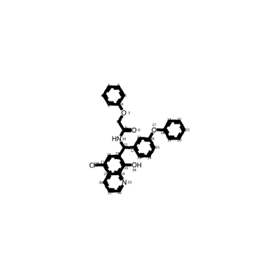 O=C(COc1ccccc1)NC(c1cccc(Oc2ccccc2)c1)c1cc(Cl)c2cccnc2c1O